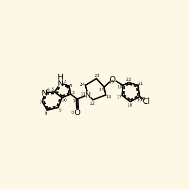 O=C(c1c[nH]c2ncccc12)N1CCC(Oc2ccc(Cl)cc2)CC1